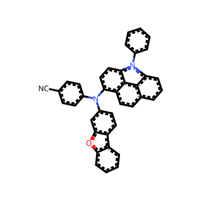 N#Cc1ccc(N(c2ccc3c(c2)oc2ccccc23)c2ccc3c4c2ccc2cccc(c24)n3-c2ccccc2)cc1